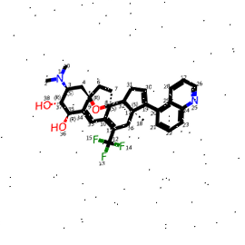 CN(C)[C@H]1C[C@@]23CC[C@@]4(O2)C(=C(C(F)(F)F)C[C@]2(C)C(c5cccc6ncccc56)=CCC24)C=C3[C@@H](O)[C@@H]1O